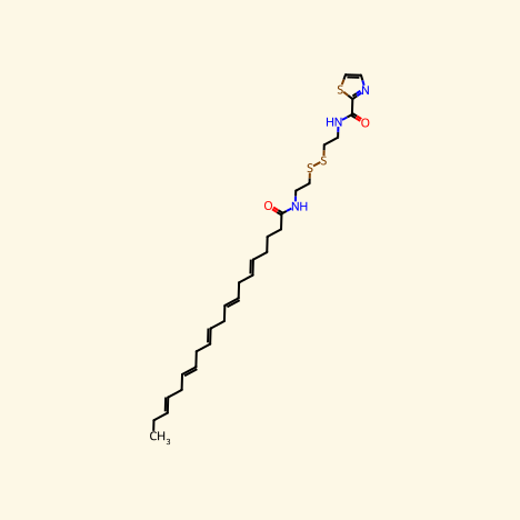 CCC=CCC=CCC=CCC=CCC=CCCCC(=O)NCCSSCCNC(=O)c1nccs1